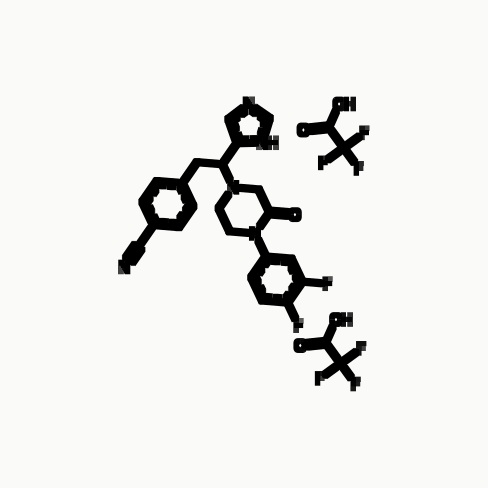 N#Cc1ccc(CC(c2cnc[nH]2)N2CCN(c3ccc(F)c(F)c3)C(=O)C2)cc1.O=C(O)C(F)(F)F.O=C(O)C(F)(F)F